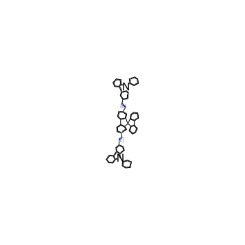 C(=C\c1ccc2c(c1)c1ccccc1n2-c1ccccc1)/c1ccc2c(c1)C1(c3ccccc3-c3ccccc31)c1cc(/C=C/c3ccc4c(c3)c3ccccc3n4-c3ccccc3)ccc1-2